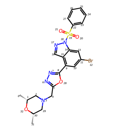 C[C@@H]1CN(Cc2nnc(-c3cc(Br)cc4c3cnn4S(=O)(=O)c3ccccc3)o2)C[C@H](C)O1